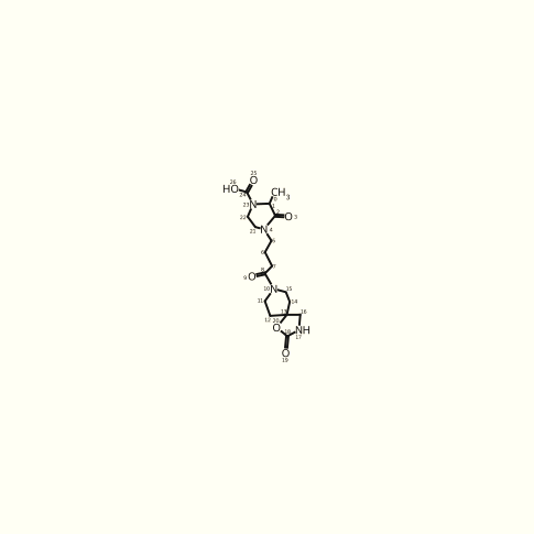 CC1C(=O)N(CCCC(=O)N2CCC3(CC2)CNC(=O)O3)CCN1C(=O)O